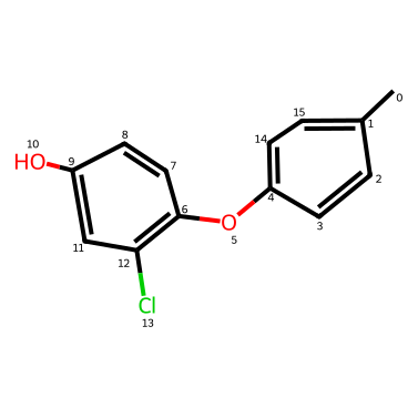 Cc1ccc(Oc2ccc(O)cc2Cl)cc1